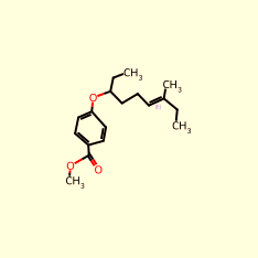 CC/C(C)=C/CCC(CC)Oc1ccc(C(=O)OC)cc1